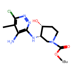 Cc1c(Cl)nnc(N[C@H]2CN(C(=O)OC(C)(C)C)CC[C@H]2O)c1N